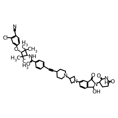 CC1(C)[C@H](NC(=O)c2ccc(C#CC3CCN(C4CN(c5ccc6c(c5)C(=O)N(C5CCC(=O)NC5=O)C6O)C4)CC3)cc2)C(C)(C)[C@H]1Oc1ccc(C#N)c(Cl)c1